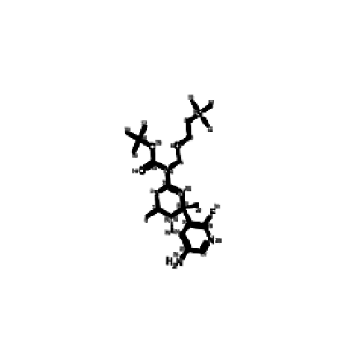 CC1SC(N(COCC[Si](C)(C)C)C(=O)OC(C)(C)C)=N[C@](C)(c2cc(N)cnc2F)[C@@H]1C